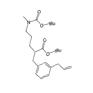 C=CCc1cccc(CC(CCCN(C)C(=O)OC(C)(C)C)C(=O)OC(C)(C)C)c1